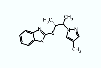 Cc1cnn([C@H](C)[C@@H](C)Sc2nc3ccccc3s2)c1